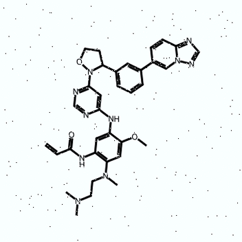 C=CC(=O)Nc1cc(Nc2cc(N3OCCC3c3cccc(-c4ccc5ncnn5c4)c3)ncn2)c(OC)cc1N(C)CCN(C)C